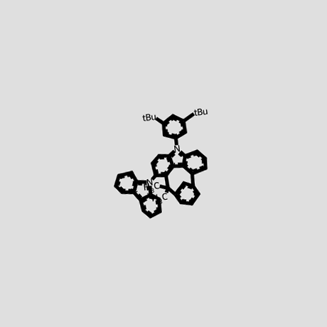 CC(C)(C)c1cc(-n2c3cccc4c3c3c(c(-n5c6ccccc6c6ccccc65)ccc32)C(C)(C)c2cccc-4c2)cc(C(C)(C)C)c1